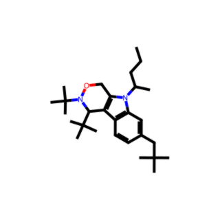 CCCC(C)n1c2c(c3ccc(CC(C)(C)C)cc31)C(C(C)(C)C)N(C(C)(C)C)OC2